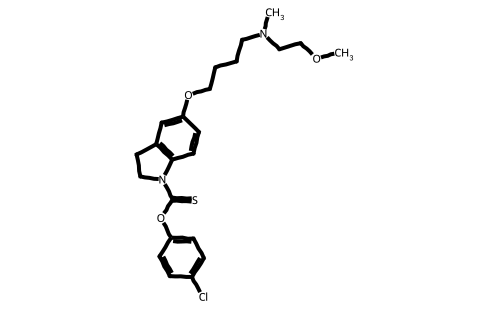 COCCN(C)CCCCOc1ccc2c(c1)CCN2C(=S)Oc1ccc(Cl)cc1